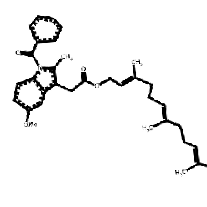 COc1ccc2c(c1)c(CC(=O)OC/C=C(\C)CC/C=C(\C)CCC=C(C)C)c(C)n2C(=O)c1ccccc1